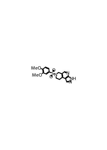 COc1ccc(S(=O)(=O)N2CCc3c(cnc4[nH]ncc34)C2)cc1OC